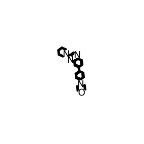 c1cc(N2CCOCC2)ccc1-c1ccc2ncc(N3CCCCC3)nc2c1